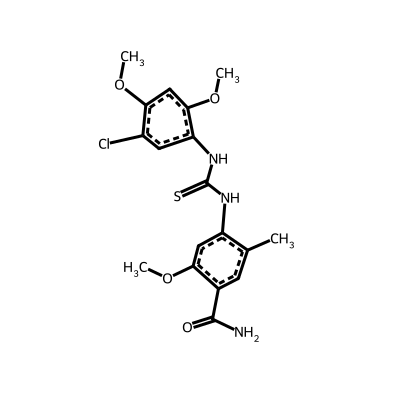 COc1cc(OC)c(NC(=S)Nc2cc(OC)c(C(N)=O)cc2C)cc1Cl